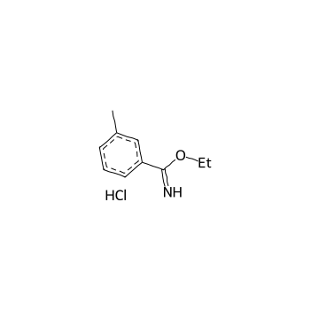 CCOC(=N)c1cccc(C)c1.Cl